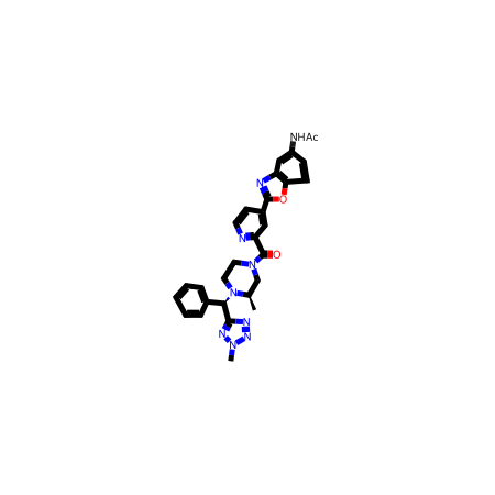 CC(=O)Nc1ccc2oc(-c3ccnc(C(=O)N4CCN([C@@H](c5ccccc5)c5nnn(C)n5)[C@H](C)C4)c3)nc2c1